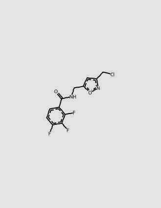 O=C(NCc1cc(CCl)no1)c1ccc(F)c(F)c1F